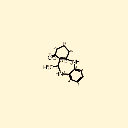 CC1Nc2ccccc2NC2=C1C(=O)CCC2